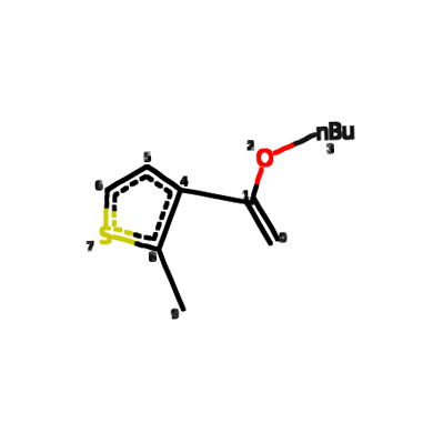 C=C(OCCCC)c1ccsc1C